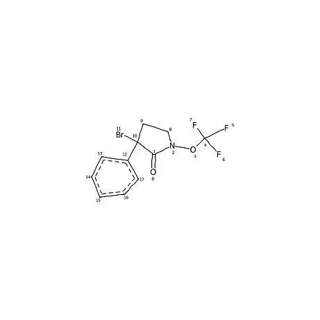 O=C1N(OC(F)(F)F)CCC1(Br)c1ccccc1